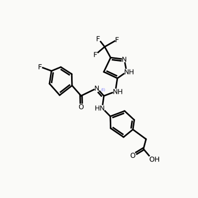 O=C(O)Cc1ccc(N/C(=N\C(=O)c2ccc(F)cc2)Nc2cc(C(F)(F)F)n[nH]2)cc1